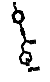 CCCCC[SiH]1CCC(CC(O)C#Cc2ccc(F)cc2)CC1